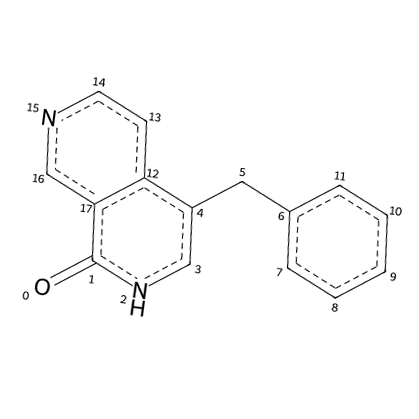 O=c1[nH]cc(Cc2ccccc2)c2ccncc12